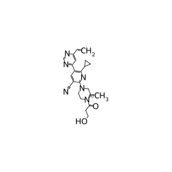 C=Cc1cc(-c2cc(C#N)c(N3CCN(C(=O)CCO)[C@H](C)C3)nc2C2CC2)ncn1